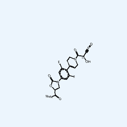 CNC(=O)C1CN(c2cc(F)c(C3=CCN(C(=O)[C@H](O)C#P=O)CC3)c(F)c2)C(=O)O1